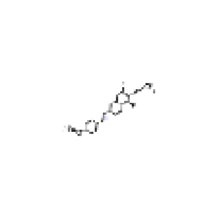 CCCCOc1ccc(/C=C/c2ccc3c(F)c(C#CC(F)(F)F)c(F)cc3c2)cc1